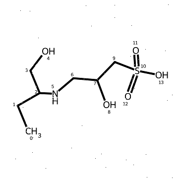 CCC(CO)NCC(O)CS(=O)(=O)O